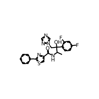 CC(NC(=O)c1csc(-c2ccccc2)n1)C(O)(Cn1cncn1)c1ccc(F)cc1F